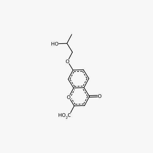 CC(O)COc1ccc2c(=O)cc(C(=O)O)oc2c1